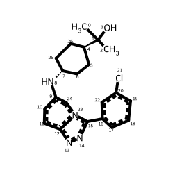 CC(C)(O)[C@H]1CC[C@H](Nc2ccc3nnc(-c4cccc(Cl)c4)n3c2)CC1